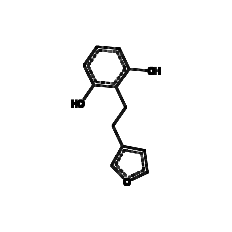 Oc1cccc(O)c1CCc1ccoc1